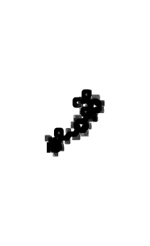 Cn1nccc1C(=O)CCCc1ccc(-c2nc3cccc(C(=O)Cl)c3o2)cc1